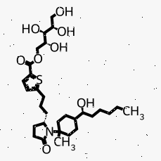 CCCCC[C@H](O)C1CCC(C)(N2C(=O)CC[C@@H]2CCCc2ccc(C(=O)OC[C@@H](O)[C@@H](O)[C@H](O)CO)s2)CC1